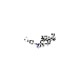 COc1c(N2CC3CCCN(C)C3C2)c(F)cc2c(=O)c(C(=O)/C=C/c3ccc(Cl)cc3)cn(C3CC3)c12